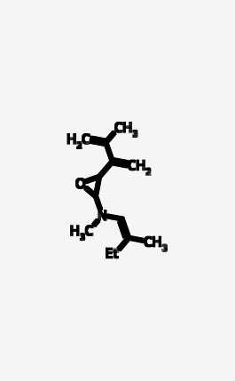 C=C(C)C(=C)C1OC1N(C)/C=C(/C)CC